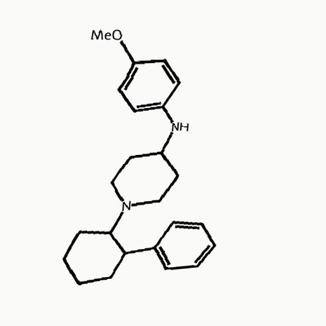 COc1ccc(NC2CCN(C3CCCCC3c3ccccc3)CC2)cc1